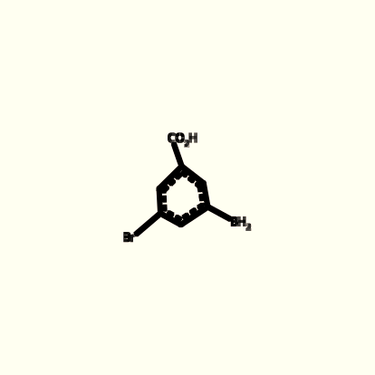 Bc1cc(Br)cc(C(=O)O)c1